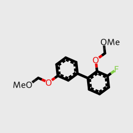 COCOc1cccc(-c2cccc(F)c2OCOC)c1